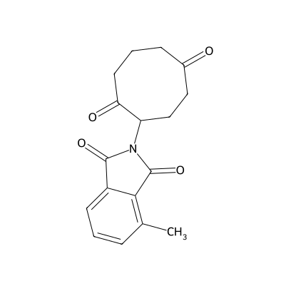 Cc1cccc2c1C(=O)N(C1CCC(=O)CCCC1=O)C2=O